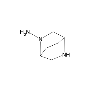 NN1CC2CCC1CN2